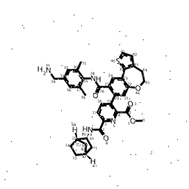 COC(=O)c1nc(C(=O)N[C@@H]2C[C@@H]3CC[C@H]2C3)ccc1-c1cc2c(cc1C(=O)Nc1c(C)cc(CN)cc1C)-c1sccc1CCO2